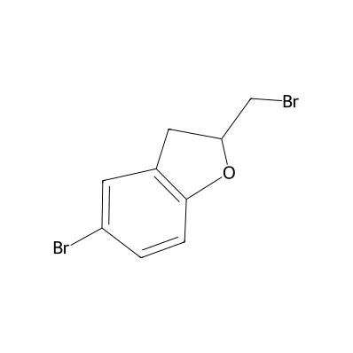 BrCC1Cc2cc(Br)ccc2O1